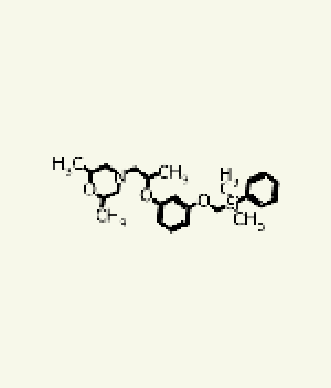 CC(CN1CC(C)OC(C)C1)Oc1cccc(OC[Si](C)(C)c2ccccc2)c1